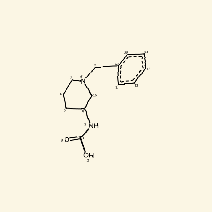 O=C(O)NC1CCCN(Cc2ccccc2)C1